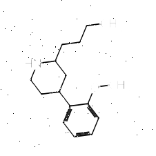 CCCCC1CC(c2ccccc2OC)CCN1